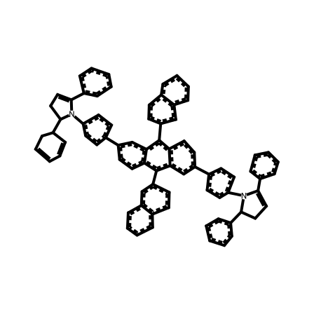 C1=CCC(C2CC=C(c3ccccc3)N2c2ccc(-c3ccc4c(-c5ccc6ccccc6c5)c5cc(-c6ccc(N7C(c8ccccc8)=CCC7c7ccccc7)cc6)ccc5c(-c5ccc6ccccc6c5)c4c3)cc2)C=C1